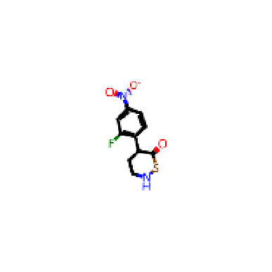 O=C1SNCCC1c1ccc([N+](=O)[O-])cc1F